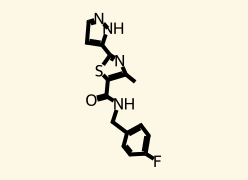 Cc1nc(-c2ccn[nH]2)sc1C(=O)NCc1ccc(F)cc1